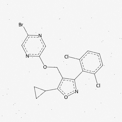 Clc1cccc(Cl)c1-c1noc(C2CC2)c1COc1cnc(Br)cn1